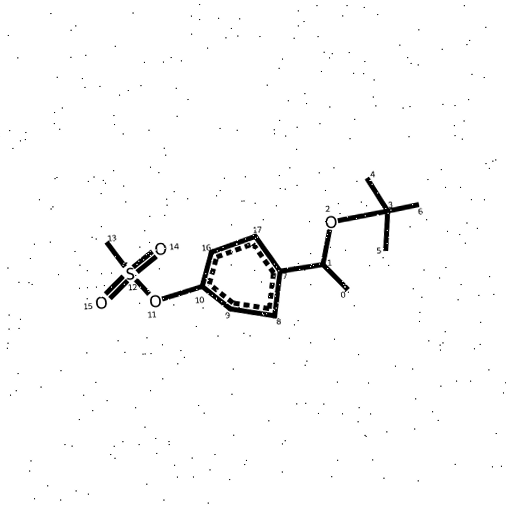 CC(OC(C)(C)C)c1ccc(OS(C)(=O)=O)cc1